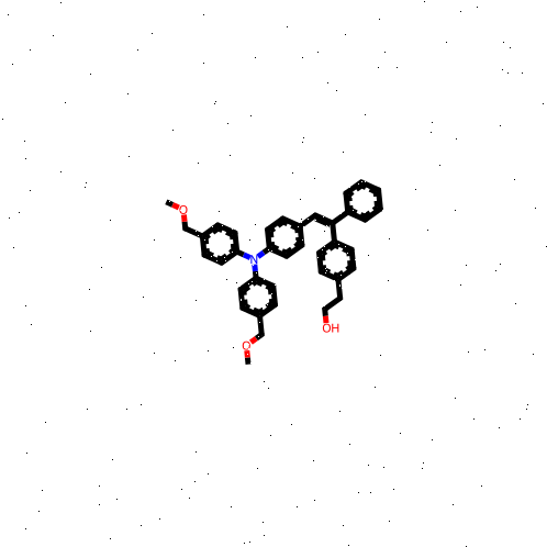 COCc1ccc(N(c2ccc(C=C(c3ccccc3)c3ccc(CCO)cc3)cc2)c2ccc(COC)cc2)cc1